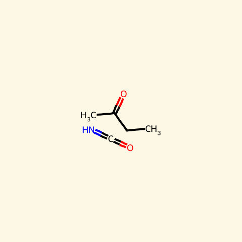 CCC(C)=O.N=C=O